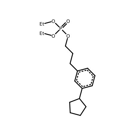 CCOP(=O)(OCC)OCCCc1cccc(C2CCCC2)c1